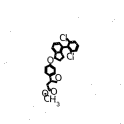 COC(=O)CC1COc2cc(O[C@@H]3CCc4c(-c5c(Cl)cccc5Cl)cccc43)ccc21